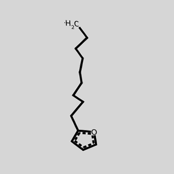 [CH2]CCCCCCCCc1ccco1